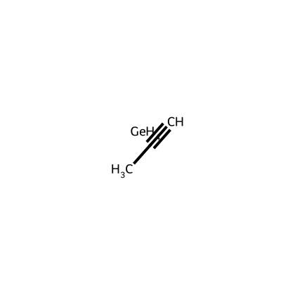 C#CC.[GeH4]